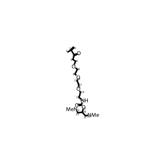 C=C(C)C(=O)CCOCCOCCOCCNC(=O)OC(CNC)CNC